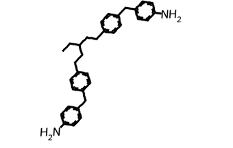 CCC(CCc1ccc(Cc2ccc(N)cc2)cc1)CCc1ccc(Cc2ccc(N)cc2)cc1